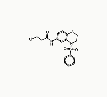 O=C(CCCl)Nc1ccc2c(c1)N(S(=O)(=O)c1ccccc1)CCS2